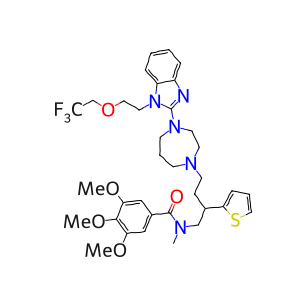 COc1cc(C(=O)N(C)CC(CCN2CCCN(c3nc4ccccc4n3CCOCC(F)(F)F)CC2)c2cccs2)cc(OC)c1OC